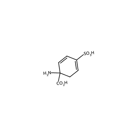 NC1(C(=O)O)C=CC(S(=O)(=O)O)=CC1